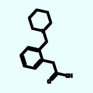 O=C(O)Cc1ccccc1CN1CCCCC1